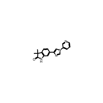 CC1(C)C(=O)Nc2cc(-c3cn(-c4cccnc4)cn3)ccc21